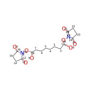 O=C(CCCCCCC(=O)ON1C(=O)CCC1=O)ON1C(=O)CCC1=O